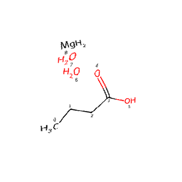 CCCC(=O)O.O.O.[MgH2]